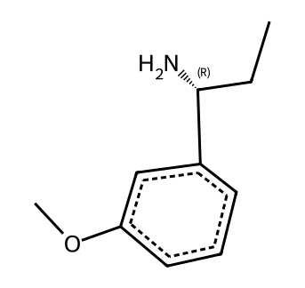 CC[C@@H](N)c1cccc(OC)c1